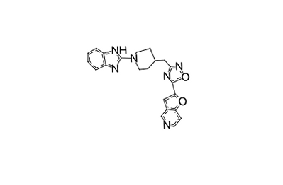 c1ccc2[nH]c(N3CCC(Cc4noc(-c5cc6cnccc6o5)n4)CC3)nc2c1